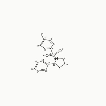 Cc1ccc(S(=O)(=O)N2CCCC2c2ccccc2)cc1